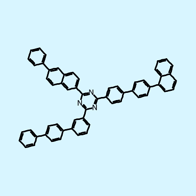 c1ccc(-c2ccc(-c3cccc(-c4nc(-c5ccc(-c6ccc(-c7cccc8ccccc78)cc6)cc5)nc(-c5ccc6cc(-c7ccccc7)ccc6c5)n4)c3)cc2)cc1